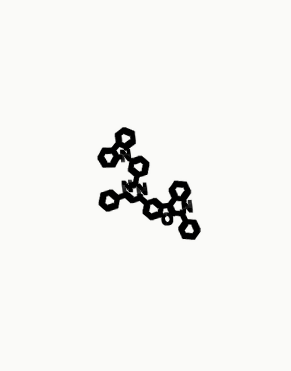 c1ccc(-c2cc(-c3ccc4oc5c(-c6ccccc6)nc6ccccc6c5c4c3)nc(-c3cccc(-n4c5ccccc5c5ccccc54)c3)n2)cc1